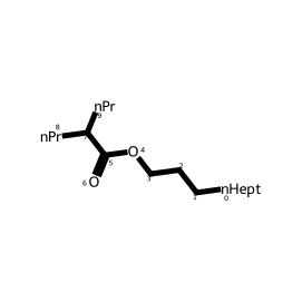 CCCCCCCCCCOC(=O)C(CCC)CCC